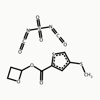 CSc1csc(C(=O)OC2CCO2)c1.O=C=NS(=O)(=O)N=C=O